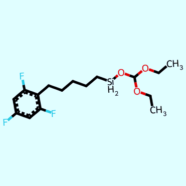 CCOC(OCC)O[SiH2]CCCCCc1c(F)cc(F)cc1F